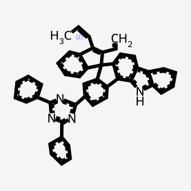 C=CC1=C(/C=C\C)c2ccccc2C12c1cc(-c3nc(-c4ccccc4)nc(-c4ccccc4)n3)ccc1-c1c2ccc2c1[nH]c1ccccc12